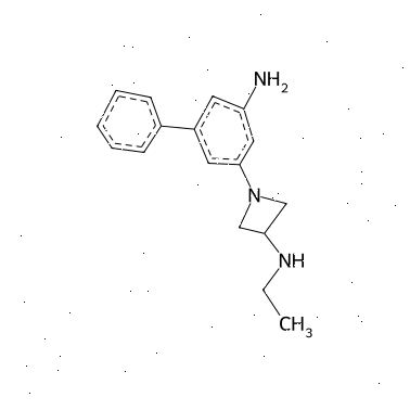 CCNC1CN(c2cc(N)cc(-c3ccccc3)c2)C1